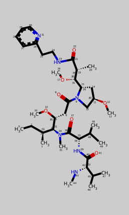 CC[C@H](C)[C@@H]([C@@H](CC(=O)N1C[C@H](OC)C[C@H]1[C@H](OC)[C@@H](C)C(=O)NCCc1ccccn1)OC)N(C)C(=O)[C@@H](NC(=O)[C@@H](NC)C(C)C)C(C)C